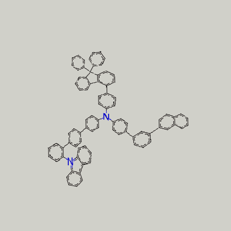 c1ccc(C2(c3ccccc3)c3ccccc3-c3c(-c4ccc(N(c5ccc(-c6ccc(-c7ccccc7-n7c8ccccc8c8ccccc87)cc6)cc5)c5ccc(-c6cccc(-c7ccc8ccccc8c7)c6)cc5)cc4)cccc32)cc1